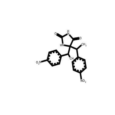 CC(c1ccc([N+](=O)[O-])cc1)C1(C(C)c2ccc([N+](=O)[O-])cc2)NC(=O)NC1=O